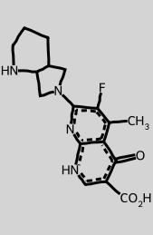 Cc1c(F)c(N2CC3CCCNC3C2)nc2[nH]cc(C(=O)O)c(=O)c12